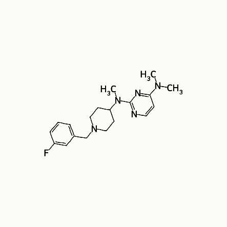 CN(C)c1ccnc(N(C)C2CCN(Cc3cccc(F)c3)CC2)n1